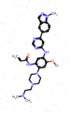 C=CC(=O)Nc1cc(Nc2cc(-c3ccc4c(cnn4C)c3)ncn2)c(OCC)cc1N1CCN(CCN(C)C)CC1